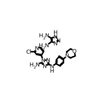 Nc1nc(Nc2ccc(N3CCOCC3)cc2)nn1-c1ccnc(Cl)c1.Nc1nn[nH]c1N